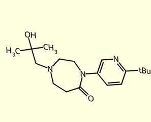 CC(C)(O)CN1CCC(=O)N(c2ccc(C(C)(C)C)nc2)CC1